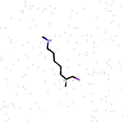 CNCCCCC[C@H](C)CI